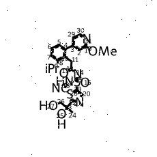 COc1cc(-c2cccc(C(C)C)c2CC(=O)N=S(=O)(NC#N)c2cnc(C(C)(O)CO)s2)ccn1